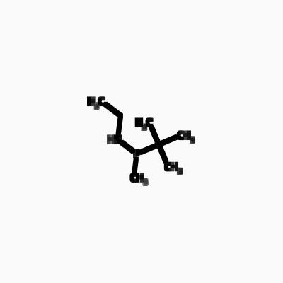 CCNP(C)C(C)(C)C